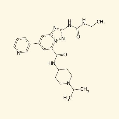 CCNC(=O)Nc1nc2cc(-c3cccnc3)cc(C(=O)NC3CCN(C(C)C)CC3)n2n1